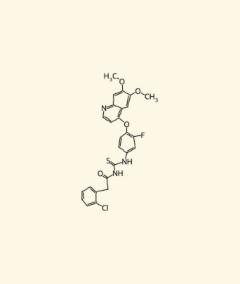 COc1cc2nccc(Oc3ccc(NC(=S)NC(=O)Cc4ccccc4Cl)cc3F)c2cc1OC